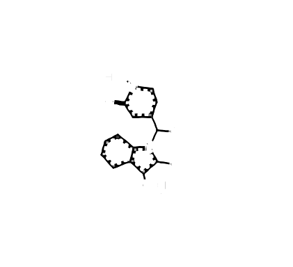 CCOC(=O)c1c(C)n(C(C)c2ccn(C)c(=O)c2)c2ccccc12